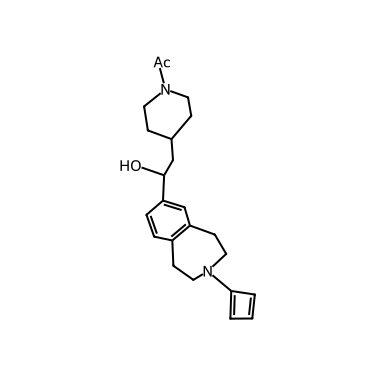 CC(=O)N1CCC(CC(O)c2ccc3c(c2)CCN(C2=CC=C2)CC3)CC1